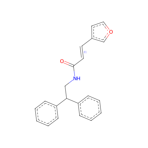 O=C(/C=C/c1ccoc1)NCC(c1ccccc1)c1ccccc1